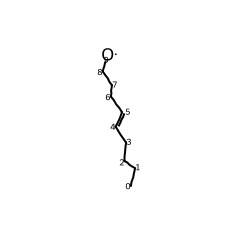 CCCC/C=C/CCC[O]